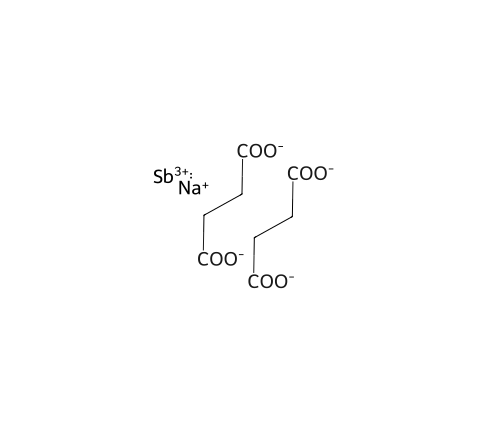 O=C([O-])CCC(=O)[O-].O=C([O-])CCC(=O)[O-].[Na+].[Sb+3]